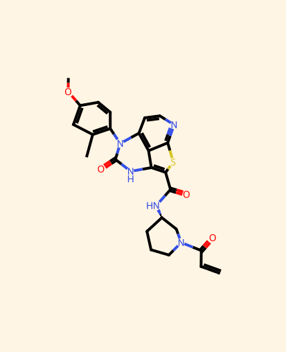 C=CC(=O)N1CCC[C@@H](NC(=O)c2sc3nccc4c3c2NC(=O)N4c2ccc(OC)cc2C)C1